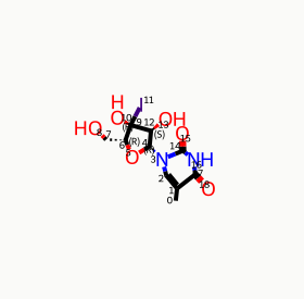 Cc1cn([C@@H]2O[C@H](CO)[C@](O)(I)[C@H]2O)c(=O)[nH]c1=O